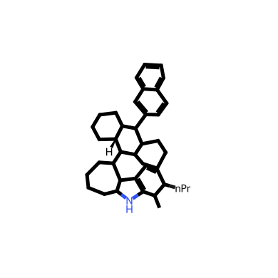 CCCC1C=CC2=C(NC3CCCCC(C4C5CCCCC5C(c5ccc6ccccc6c5)C5CCCC[C@H]54)C23)C1C